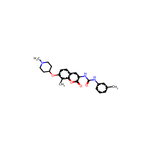 Cc1cccc(NC(=O)Nc2cc3ccc(OC4CCN(C)CC4)c(C)c3oc2=O)c1